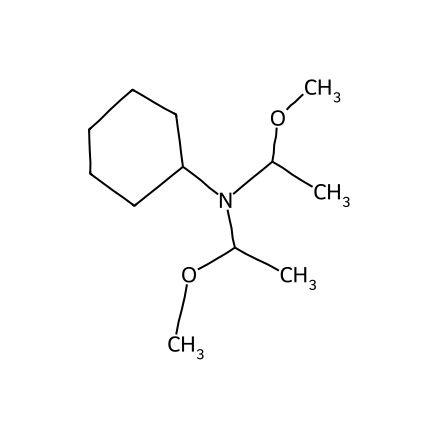 COC(C)N(C1CCCCC1)C(C)OC